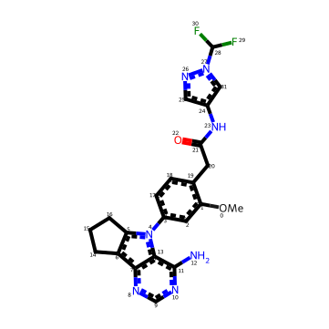 COc1cc(-n2c3c(c4ncnc(N)c42)CCC3)ccc1CC(=O)Nc1cnn(C(F)F)c1